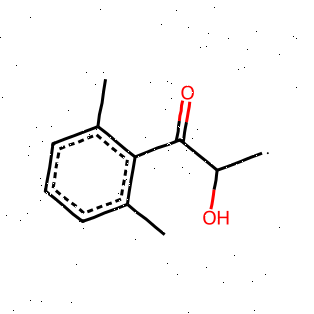 [CH2]C(O)C(=O)c1c(C)cccc1C